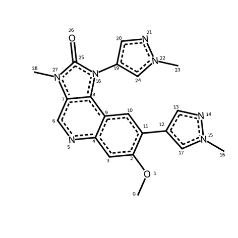 COc1cc2ncc3c(c2cc1-c1cnn(C)c1)n(-c1cnn(C)c1)c(=O)n3C